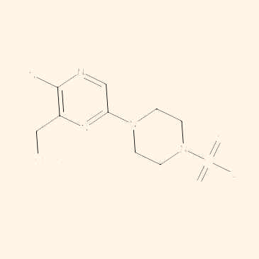 CCS(=O)(=O)N1CCN(c2cnc(N)c(CC=O)n2)CC1